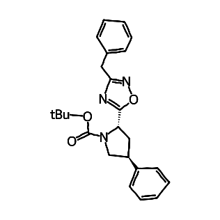 CC(C)(C)OC(=O)N1C[C@H](c2ccccc2)C[C@H]1c1nc(Cc2ccccc2)no1